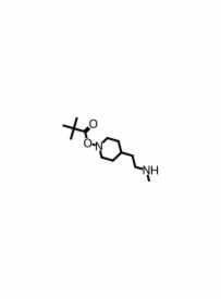 CNCCC1CCN(OC(=O)C(C)(C)C)CC1